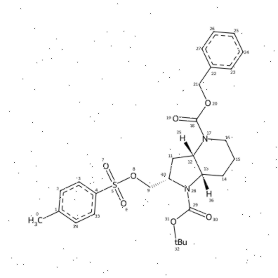 Cc1ccc(S(=O)(=O)OC[C@@H]2C[C@H]3[C@H](CCCN3C(=O)OCc3ccccc3)N2C(=O)OC(C)(C)C)cc1